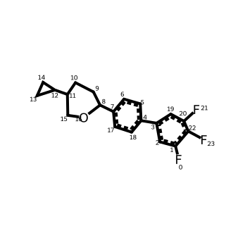 Fc1cc(-c2ccc(C3CCC(C4CC4)CO3)cc2)cc(F)c1F